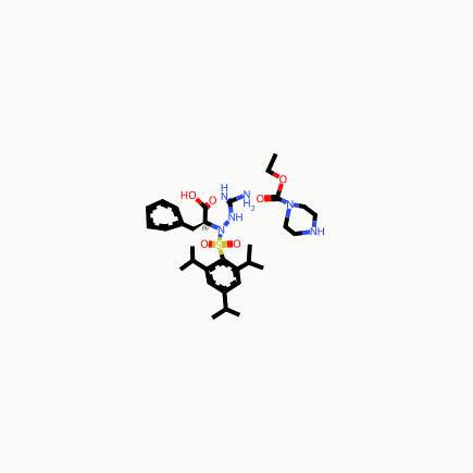 CC(C)c1cc(C(C)C)c(S(=O)(=O)N(NC(=N)N)[C@@H](Cc2ccccc2)C(=O)O)c(C(C)C)c1.CCOC(=O)N1CCNCC1